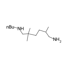 CCCCNCC(C)(C)CCC(C)CN